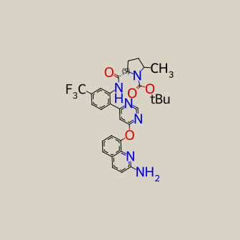 CC1CC[C@@H](C(=O)Nc2cc(C(F)(F)F)ccc2-c2cc(Oc3cccc4ccc(N)nc34)ncn2)N1C(=O)OC(C)(C)C